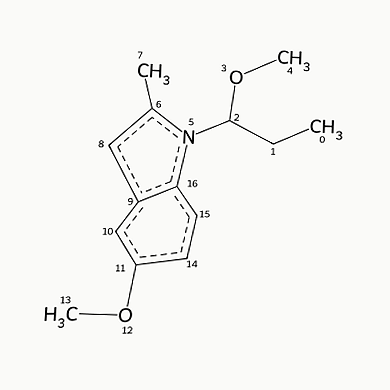 CCC(OC)n1c(C)cc2cc(OC)ccc21